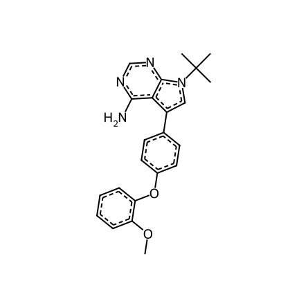 COc1ccccc1Oc1ccc(-c2cn(C(C)(C)C)c3ncnc(N)c23)cc1